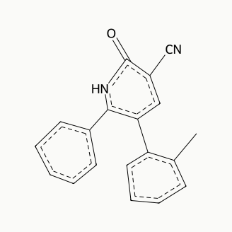 Cc1ccccc1-c1cc(C#N)c(=O)[nH]c1-c1ccccc1